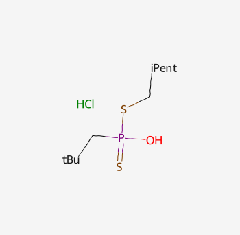 CCCC(C)CSP(O)(=S)CC(C)(C)C.Cl